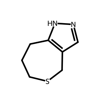 c1n[nH]c2c1CSCCC2